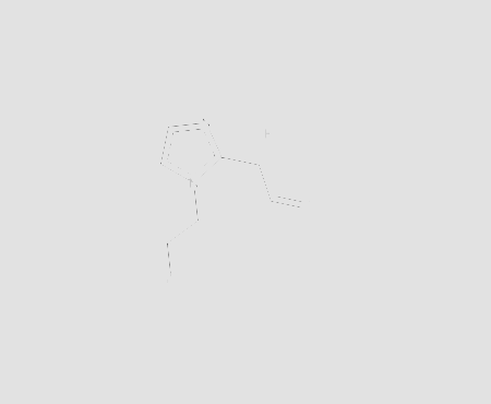 C=CCc1nccn1CCO.Cl